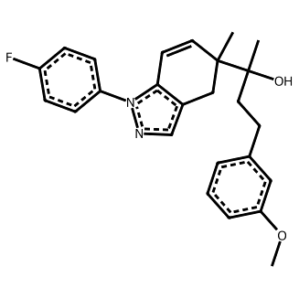 COc1cccc(CCC(C)(O)C2(C)C=Cc3c(cnn3-c3ccc(F)cc3)C2)c1